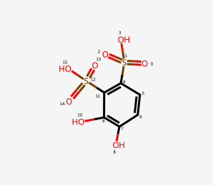 O=S(=O)(O)c1ccc(O)c(O)c1S(=O)(=O)O